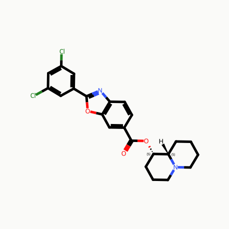 O=C(O[C@H]1CCCN2CCCC[C@@H]12)c1ccc2nc(-c3cc(Cl)cc(Cl)c3)oc2c1